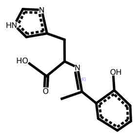 C/C(=N\C(Cc1c[nH]cn1)C(=O)O)c1ccccc1O